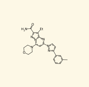 CCc1c(C(N)=O)nn2c(N3CCOCC3)cc(-n3ccc(-c4cccc(C)c4)n3)nc12